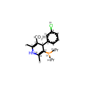 CC1=C(C(=O)O)C(c2cccc(Cl)c2)C(P(C(C)C)C(C)C)=C(C)N1